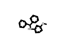 COc1cccc(NC(c2ccccc2)c2ccccc2)c1